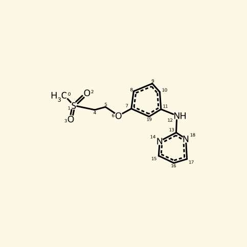 CS(=O)(=O)CCOc1cccc(Nc2ncccn2)c1